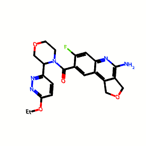 CCOc1ccc(C2COCCN2C(=O)c2cc3c4c(c(N)nc3cc2F)COC4)nn1